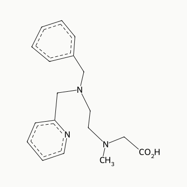 CN(CCN(Cc1ccccc1)Cc1ccccn1)CC(=O)O